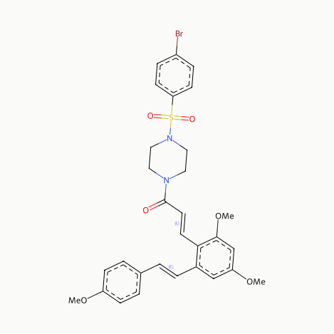 COc1ccc(/C=C/c2cc(OC)cc(OC)c2/C=C/C(=O)N2CCN(S(=O)(=O)c3ccc(Br)cc3)CC2)cc1